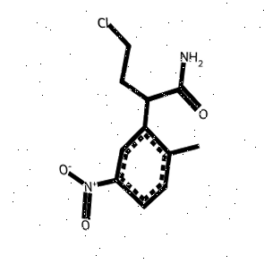 Cc1ccc([N+](=O)[O-])cc1C(CCCl)C(N)=O